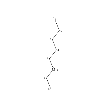 [CH2]COCCCCI